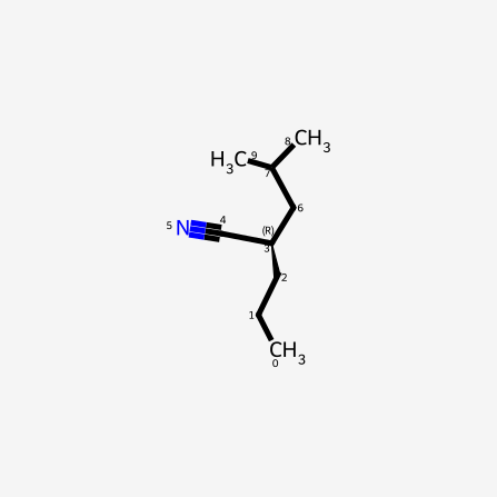 CCC[C@@H](C#N)CC(C)C